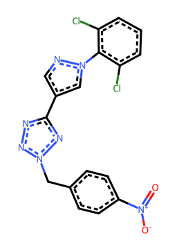 O=[N+]([O-])c1ccc(Cn2nnc(-c3cnn(-c4c(Cl)cccc4Cl)c3)n2)cc1